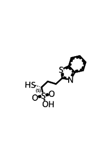 O=S(=O)(O)[C@H](S)CCc1nc2ccccc2s1